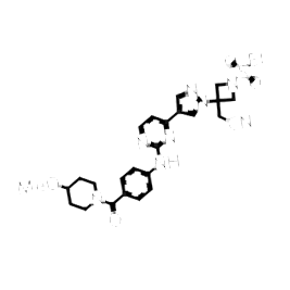 CCS(=O)(=O)N1CC(CC#N)(n2cc(-c3ccnc(Nc4ccc(C(=O)N5CCC(OC)CC5)cc4)n3)cn2)C1